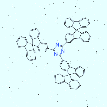 c1ccc2c(c1)-c1ccccc1C21c2ccccc2-c2cc(-c3nc(-c4ccc5c(c4)-c4ccccc4C54c5ccccc5-c5ccccc54)nc(-c4ccc5c(c4)-c4ccccc4C54c5ccccc5-c5ccccc54)n3)ccc21